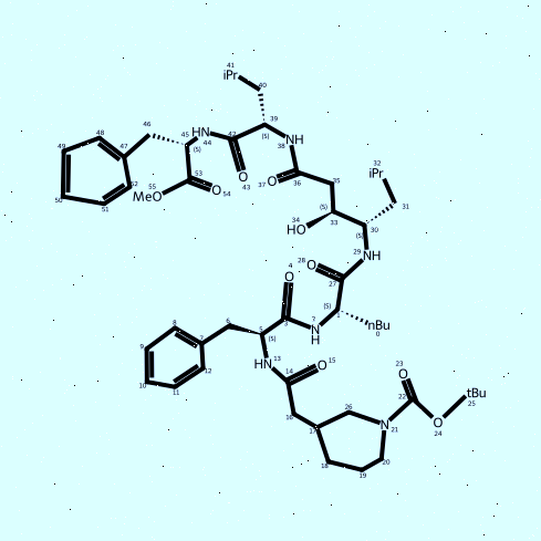 CCCC[C@H](NC(=O)[C@H](Cc1ccccc1)NC(=O)CC1CCCN(C(=O)OC(C)(C)C)C1)C(=O)N[C@@H](CC(C)C)[C@@H](O)CC(=O)N[C@@H](CC(C)C)C(=O)N[C@@H](Cc1ccccc1)C(=O)OC